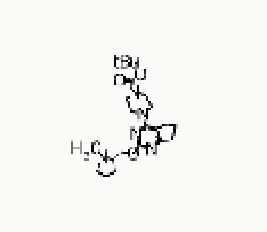 CN1CCC[C@H]1COc1nc2c(c(N3CCN(C(=O)OC(C)(C)C)CC3)n1)CCC2